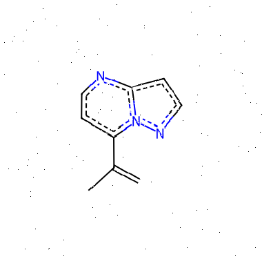 C=C(C)c1ccnc2ccnn12